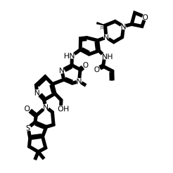 C=CC(=O)Nc1cc(Nc2nc(-c3ccnc(N4CCc5c(sc6c5CC(C)(C)C6)C4=O)c3CO)cn(C)c2=O)ccc1N1CCN(C2COC2)C[C@@H]1C